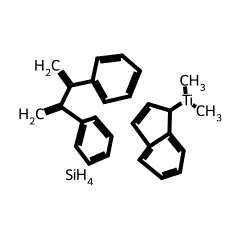 C=C(C(=C)c1ccccc1)c1ccccc1.[CH3][Ti]([CH3])[CH]1C=Cc2ccccc21.[SiH4]